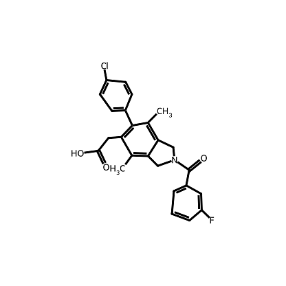 Cc1c2c(c(C)c(-c3ccc(Cl)cc3)c1CC(=O)O)CN(C(=O)c1cccc(F)c1)C2